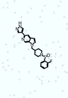 [O-][S+](c1ccccc1F)N1CCC(Cn2ccc3cc(-c4cn[nH]c4)ncc32)CC1